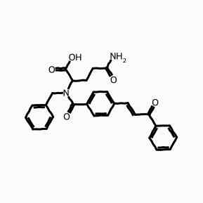 NC(=O)CCC(C(=O)O)N(Cc1ccccc1)C(=O)c1ccc(/C=C/C(=O)c2ccccc2)cc1